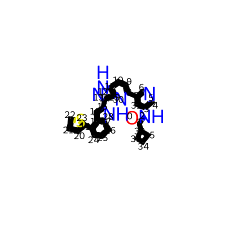 O=C(Nc1cncc(-c2ccc3[nH]nc(-c4cc5c(-c6cccs6)cccc5[nH]4)c3n2)c1)C1CCC1